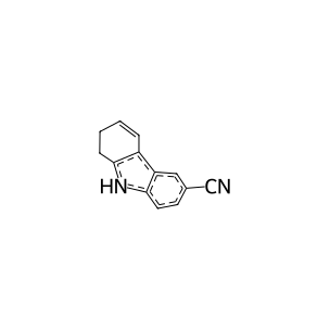 N#Cc1ccc2[nH]c3c(c2c1)C=CCC3